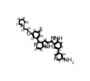 Nc1cncc(-c2ccc3[nH]nc(-c4cc5c(-c6cc(F)cc(OCCN7CCCC7)c6)nccc5[nH]4)c3c2)c1